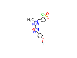 Cc1nc(-c2nc(-c3ccc(OCF)cc3)no2)nn1Cc1cccc(S(=O)(=O)Cl)c1